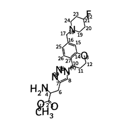 COC(=O)C(N)Cc1cn([C@@H]2CCOc3cc(CN4CCC(F)CC4)ccc32)nn1